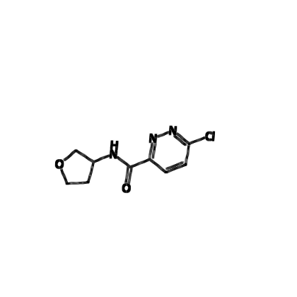 O=C(NC1CCOC1)c1ccc(Cl)nn1